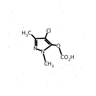 Cc1nn(C)c(OC(=O)O)c1Cl